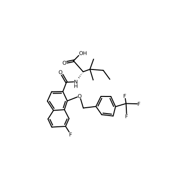 CCC(C)(C)[C@H](NC(=O)c1ccc2ccc(F)cc2c1OCc1ccc(C(F)(F)F)cc1)C(=O)O